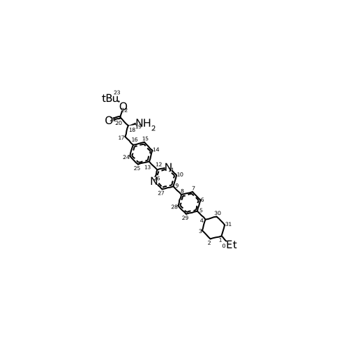 CCC1CCC(c2ccc(-c3cnc(-c4ccc(C[C@H](N)C(=O)OC(C)(C)C)cc4)nc3)cc2)CC1